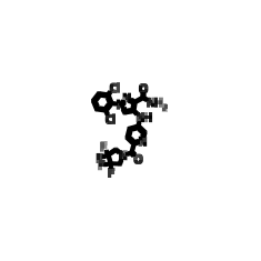 NC(=O)c1nn(-c2c(Cl)cccc2Cl)cc1Nc1ccc(C(=O)N2CC(F)(F)C(F)(F)C2)nc1